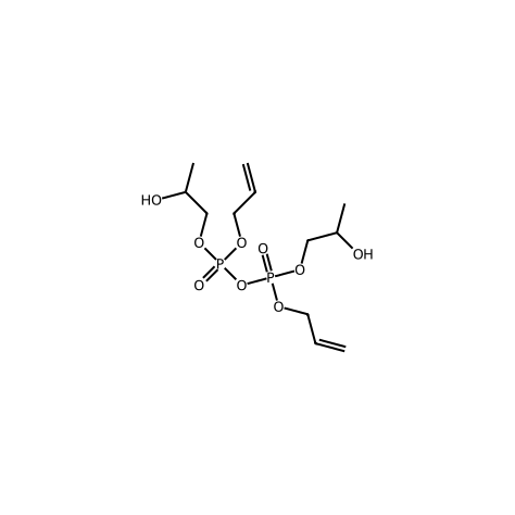 C=CCOP(=O)(OCC(C)O)OP(=O)(OCC=C)OCC(C)O